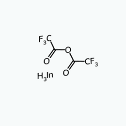 O=C(OC(=O)C(F)(F)F)C(F)(F)F.[InH3]